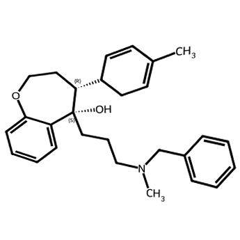 CC1=CCC([C@H]2CCOc3ccccc3[C@]2(O)CCCN(C)Cc2ccccc2)C=C1